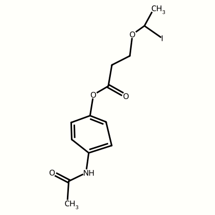 CC(=O)Nc1ccc(OC(=O)CCOC(C)I)cc1